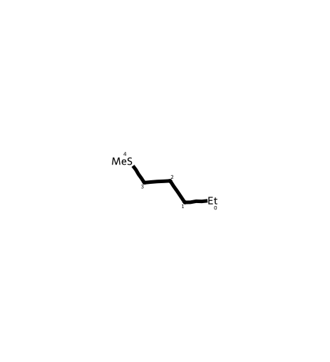 CCCCCSC